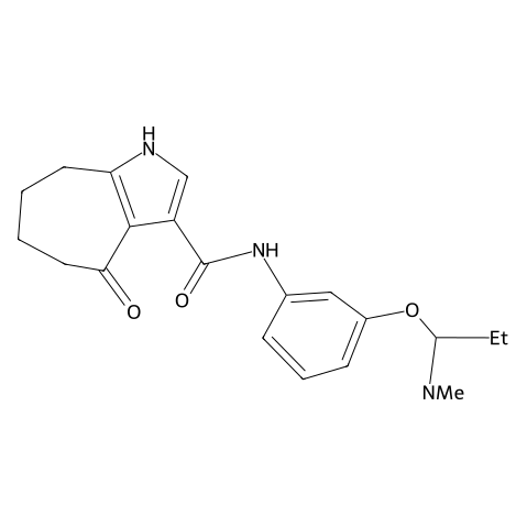 CCC(NC)Oc1cccc(NC(=O)c2c[nH]c3c2C(=O)CCCC3)c1